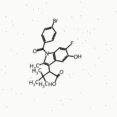 Cc1c(C(C(=O)O)C(C)(C)C)c2cc(O)c(F)cc2n1C(=O)c1ccc(Br)cc1